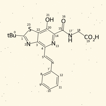 CC(C)(C)c1nc2c(C=Cc3ccccc3)nc(C(=O)NCC(=O)O)c(O)c2s1